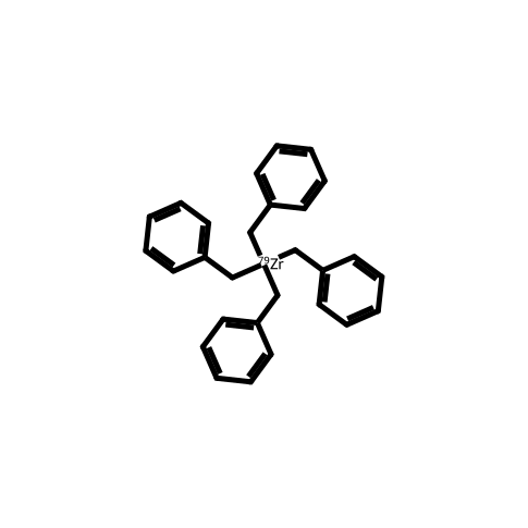 c1ccc([CH2][79Zr]([CH2]c2ccccc2)([CH2]c2ccccc2)[CH2]c2ccccc2)cc1